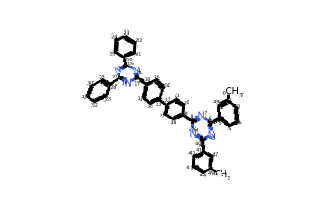 Cc1cccc(-c2nc(-c3ccc(-c4ccc(-c5nc(-c6ccccc6)nc(-c6ccccc6)n5)cc4)cc3)nc(-c3cccc(C)c3)n2)c1